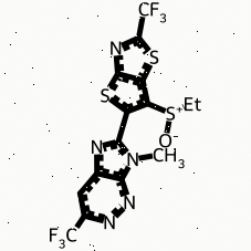 CC[S+]([O-])c1c(-c2nc3cc(C(F)(F)F)nnc3n2C)sc2nc(C(F)(F)F)sc12